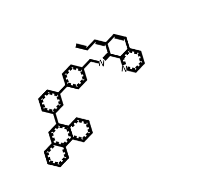 C=C/C=C1/C=Cc2cccnc2/C1=N/Cc1ccc(-c2cccc(-c3cc4ccccc4c4ccccc34)c2)cc1